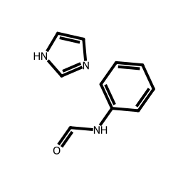 O=CNc1ccccc1.c1c[nH]cn1